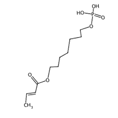 CC=CC(=O)OCCCCCCCOP(=O)(O)O